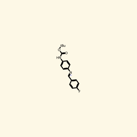 CC(C)(C)OC(=O)Nc1ccc(/N=C/c2ccc(F)cc2)cc1